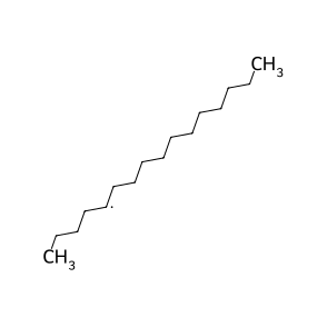 CCCC[CH]CCCCCCCCCCC